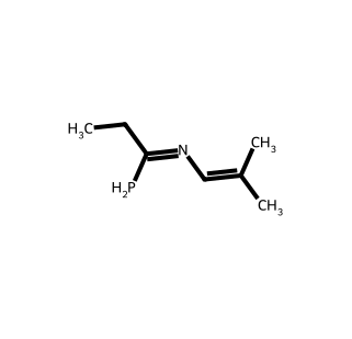 CC/C(P)=N/C=C(C)C